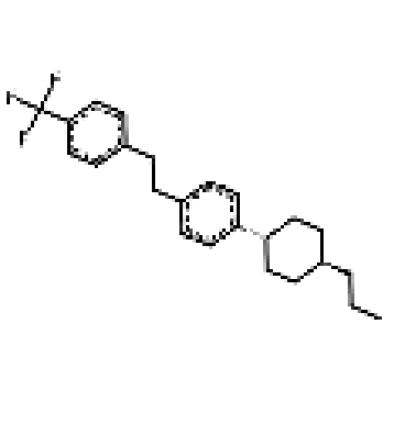 CCC[C@H]1CC[C@H](c2ccc(CCc3ccc(C(F)(F)F)cc3)cc2)CC1